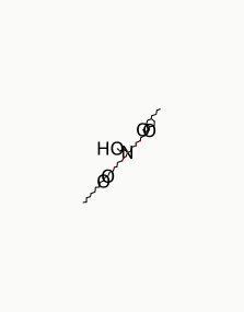 CCCCCCCCCOCOCCCCCCCCN(CCO)CCCCCCCC(=O)OC1CCC(CCCC)CC1